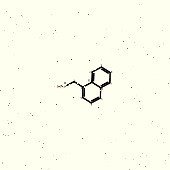 [SeH]Cc1cccc2ccccc12